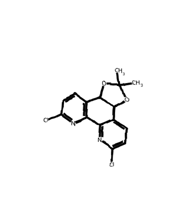 CC1(C)OC2c3ccc(Cl)nc3-c3nc(Cl)ccc3C2O1